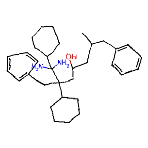 CC(Cc1ccccc1)CC(O)CC(Cc1ccccc1)(C1CCCCC1)C(N)(N)C1CCCCC1